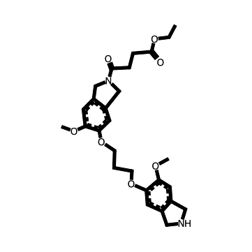 CCOC(=O)CCC(=O)N1Cc2cc(OC)c(OCCCOc3cc4c(cc3OC)CNC4)cc2C1